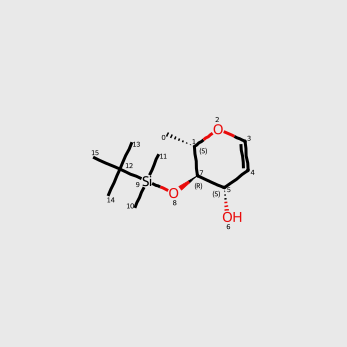 C[C@@H]1OC=C[C@H](O)[C@H]1O[Si](C)(C)C(C)(C)C